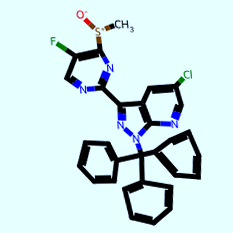 C[S+]([O-])c1nc(-c2nn(C(c3ccccc3)(c3ccccc3)c3ccccc3)c3ncc(Cl)cc23)ncc1F